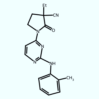 CCC1(C#N)CCN(c2ccnc(Nc3ccccc3C)n2)C1=O